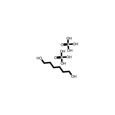 O=P(O)(O)O.O=P(O)(O)O.OCCCCCCO